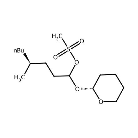 CCCC[C@H](C)CCC(O[C@@H]1CCCCO1)OS(C)(=O)=O